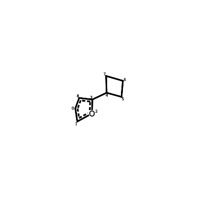 c1coc(C2CCC2)c1